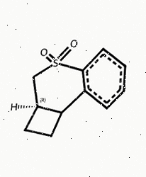 O=S1(=O)C[C@@H]2CCC2c2ccccc21